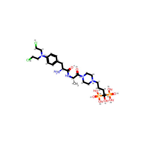 C[C@H](NC(=O)[C@@H](N)Cc1ccc(N(CCCl)CCCl)cc1)C(=O)N1CCN(CCCC(O)(P(=O)(O)O)P(=O)(O)O)CC1